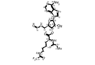 CC(C)(C)OC(=O)N[C@@H](CCCCNC(=O)C(F)(F)F)C(=O)O[C@H]1[C@@H](O)[C@H](n2cnc3c(N)ncnc32)O[C@@H]1COP=O